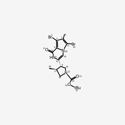 Cc1c(Br)c2c(=O)[nH]c([C@@H]3CN(C(=O)OC(C)(C)C)C[C@H]3C)cn2c1Br